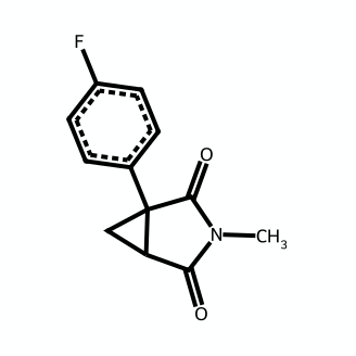 CN1C(=O)C2CC2(c2ccc(F)cc2)C1=O